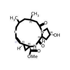 COC(=O)[C@@]12C[C@H]1/C=C\CCC(C)C[C@@H](C)CC(=O)N1C[C@H](O)C[C@H]1C(=O)N2